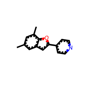 Cc1cc(C)c2oc(-c3ccncc3)cc2c1